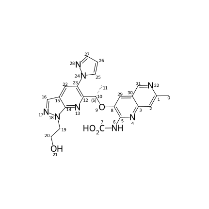 Cc1cc2nc(NC(=O)O)c(O[C@@H](C)c3nc4c(cnn4CCO)cc3-n3cccn3)cc2cn1